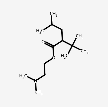 CC(C)CC(C(=O)OCCN(C)C)C(C)(C)C